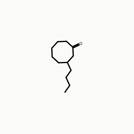 CCCCC1CCCCCC(=O)C1